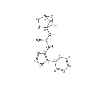 O=C(Nc1ncsc1-c1ccccc1)OC12CCN(CC1)C2